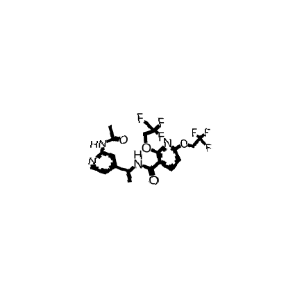 CC(=O)Nc1cc(C(C)NC(=O)c2ccc(OCC(F)(F)F)nc2OCC(F)(F)F)ccn1